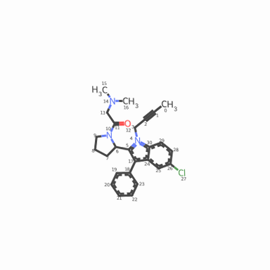 CC#CCn1c(C2CCCN2C(=O)CN(C)C)c(-c2ccccc2)c2cc(Cl)ccc21